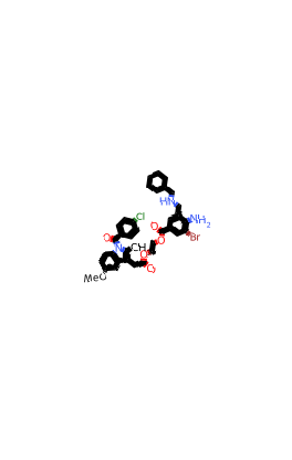 COc1ccc2c(c1)c(CC(=O)OCCOC(=O)c1cc(Br)c(N)c(CNCC3CCCCC3)c1)c(C)n2C(=O)c1ccc(Cl)cc1